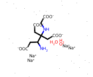 NC(CC(=O)[O-])C(CC(=O)[O-])(CC(=O)[O-])NCC(=O)[O-].O.O.[Na+].[Na+].[Na+].[Na+]